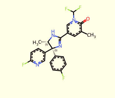 Cc1cc(C2=N[C@@](c3ccc(F)cc3)(c3ccc(F)nc3)[C@H](C)N2)cn(C(F)F)c1=O